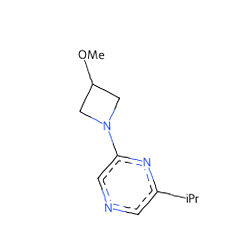 COC1CN(c2cncc(C(C)C)n2)C1